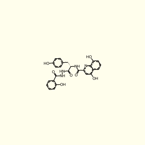 O=C(N[C@@H](Cc1ccc(O)cc1)C(=O)NNC(=O)c1ccccc1O)c1cc(O)c2cccc(O)c2n1